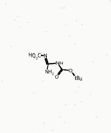 CC(C)(C)OC(=O)N/C(N)=N/C(=O)O